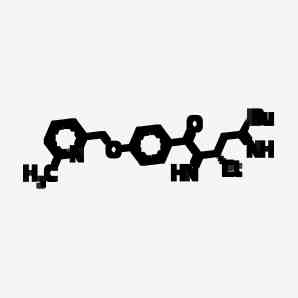 CC[C@@H](CC(=N)[C@H](C)CC)C(=N)C(=O)c1ccc(OCc2cccc(C)n2)cc1